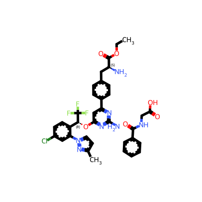 CCOC(=O)[C@@H](N)Cc1ccc(-c2cc(O[C@H](c3ccc(Cl)cc3-n3ccc(C)n3)C(F)(F)F)nc(N)n2)cc1.O=C(O)CNC(=O)c1ccccc1